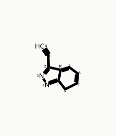 C#CC1=NN=C2CC=CC=C12